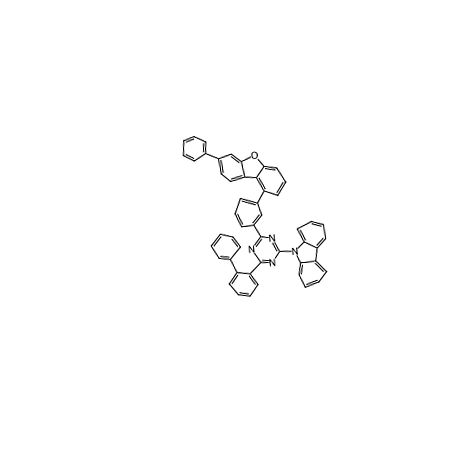 c1ccc(-c2ccc3c(c2)oc2cccc(-c4cccc(-c5nc(-c6ccccc6-c6ccccc6)nc(-n6c7ccccc7c7ccccc76)n5)c4)c23)cc1